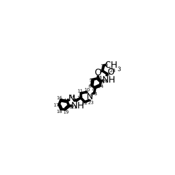 CCC1Oc2ccc(CN3CCC(c4nc5ccccc5[nH]4)CC3)cc2NC1=O